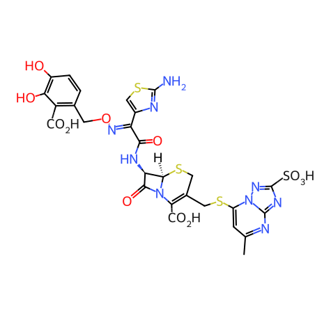 Cc1cc(SCC2=C(C(=O)O)N3C(=O)[C@@H](NC(=O)C(=NOCc4ccc(O)c(O)c4C(=O)O)c4csc(N)n4)[C@H]3SC2)n2nc(S(=O)(=O)O)nc2n1